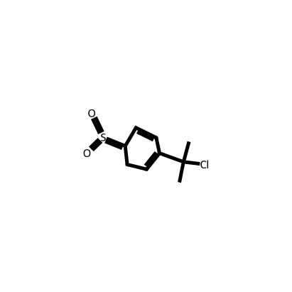 CC(C)(Cl)C1=CCC(=S(=O)=O)C=C1